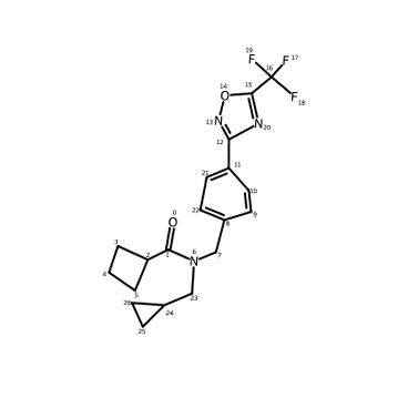 O=C(C1CCC1)N(Cc1ccc(-c2noc(C(F)(F)F)n2)cc1)CC1CC1